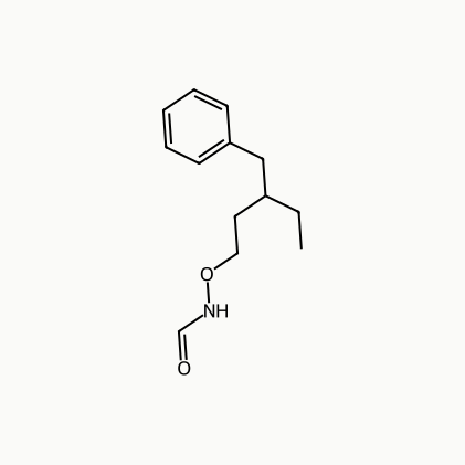 CCC(CCONC=O)Cc1ccccc1